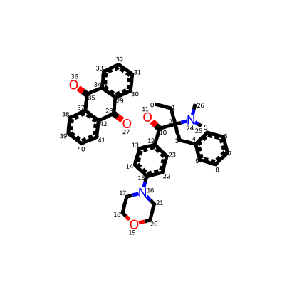 CCC(Cc1ccccc1)(C(=O)c1ccc(N2CCOCC2)cc1)N(C)C.O=C1c2ccccc2C(=O)c2ccccc21